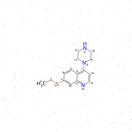 CCSc1ccc2c(N3CCNCC3)ccnc2c1